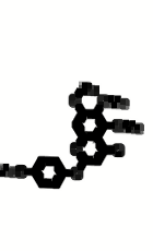 CCC(C)Oc1cc2oc(Oc3ccc(OC)cc3)cc(=O)c2c(OC)c1OC